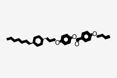 C=CCCOc1ccc(C(=O)Oc2ccc(OCCC[C@H]3CC[C@H](CCCCCCC)CC3)cc2)cc1